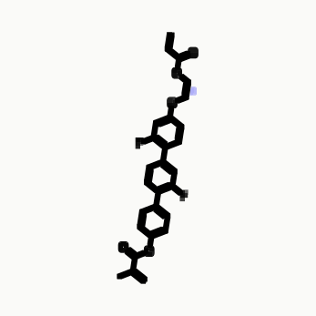 C=CC(=O)O/C=C\Oc1ccc(-c2ccc(-c3ccc(OC(=O)C(=C)C)cc3)c(F)c2)c(F)c1